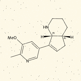 COc1cc(C2=CC[C@H]3CCCN[C@@H]23)cnc1C